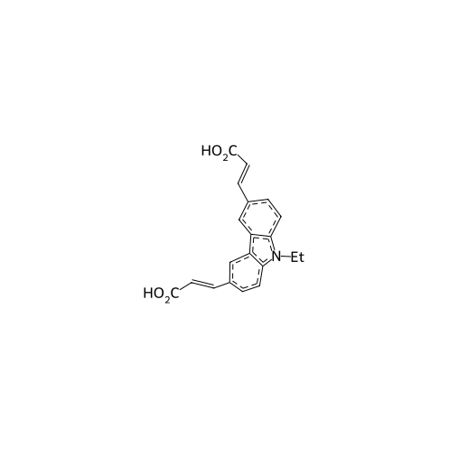 CCn1c2ccc(C=CC(=O)O)cc2c2cc(C=CC(=O)O)ccc21